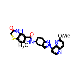 COc1ccc2nccc(-n3cc4c(n3)CCC(NC(=O)c3cc5c(cc3C)SCC(=O)N5)C4)c2n1